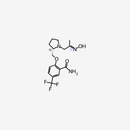 C/C(CN1CCC[C@H]1COc1ccc(C(F)(F)F)cc1C(N)=O)=N\O